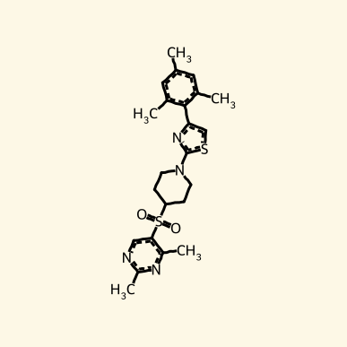 Cc1cc(C)c(-c2csc(N3CCC(S(=O)(=O)c4cnc(C)nc4C)CC3)n2)c(C)c1